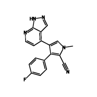 Cn1cc(-c2ccnc3[nH]ncc23)c(-c2ccc(F)cc2)c1C#N